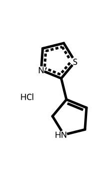 C1=C(c2nccs2)CNC1.Cl